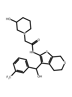 O=C(CN1CCCC(O)C1)Nc1sc2c(c1C(O)c1cccc(C(F)(F)F)c1)CCSC2